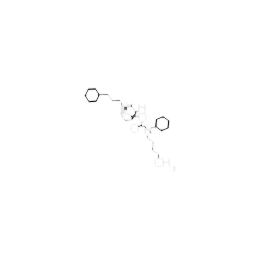 CCCCCN(C(=O)O[C@H]1C[N+]2(CCCc3ccccc3)CCC1CC2)c1ccccc1